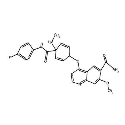 CNC1(C(=O)Nc2ccc(F)cc2)C=CC(Oc2ccnc3cc(OC)c(C(N)=O)cc23)C=C1